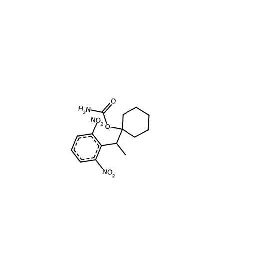 CC(c1c([N+](=O)[O-])cccc1[N+](=O)[O-])C1(OC(N)=O)CCCCC1